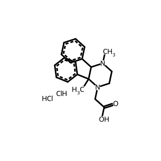 CN1CCN(CC(=O)O)C(C)(c2ccccc2)C1c1ccccc1.Cl.Cl